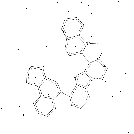 Cc1ccc2c(oc3c(-c4cc5ccccc5c5ccccc45)cccc32)c1-c1ccc2ccccc2[n+]1C